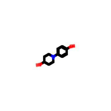 Oc1ccc(N2CCC(O)CC2)cc1